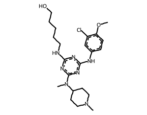 COc1ccc(Nc2nc(NCCCCCO)nc(N(C)C3CCN(C)CC3)n2)cc1Cl